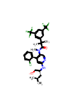 CC(C)C[C@@H](CO)Nc1cc(-c2ccccc2Cl)c(N(C)C(=O)C(C)(C)c2cc(C(F)(F)F)cc(C(F)(F)F)c2)cn1